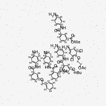 CC(=O)OCCOc1c(Cl)cc(N)cc1Cl.CCCCOc1cccc(C(=O)Nc2ccc(N)cc2)c1.COC(=O)c1cccc(C(=O)Nc2ccc(N)cc2)c1.CSc1ccccc1C(=O)Nc1ccc(N)cc1.Nc1ccc(NC(=O)c2cccc(OCc3ccccc3)c2)cc1